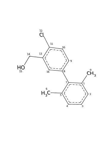 Cc1cccc(C)c1-c1ccc(Cl)c(CO)c1